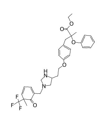 CCOC(=O)C(C)(Cc1ccc(OCCC2CN(CC3=CC=CC(C)(C(F)(F)F)C3=O)CN2)cc1)Oc1ccccc1